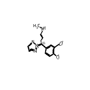 CNCC[C@@H](c1ccc(Cl)c(Cl)c1)n1nccn1